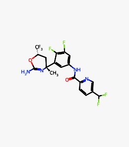 C[C@]1(c2cc(NC(=O)c3ccc(C(F)F)cn3)cc(F)c2F)C[C@@H](C(F)(F)F)OC(N)=N1